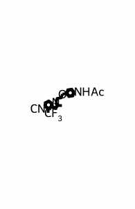 [C-]#[N+]c1ccc2c(cc(C)n2CCOc2ccc(NC(C)=O)cc2)c1C(F)(F)F